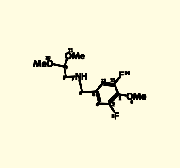 COc1c(F)cc(CNCC(OC)OC)cc1F